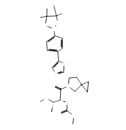 COC(=O)N[C@H](C(=O)N1CC2(CC2)C[C@H]1c1ncc(-c2ccc(B3OC(C)(C)C(C)(C)O3)cc2)[nH]1)[C@@H](C)OC